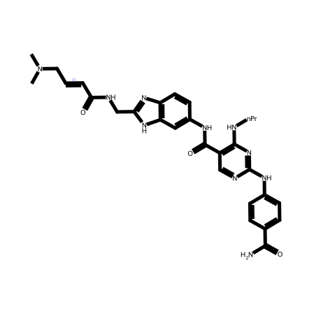 CCCNc1nc(Nc2ccc(C(N)=O)cc2)ncc1C(=O)Nc1ccc2nc(CNC(=O)/C=C/CN(C)C)[nH]c2c1